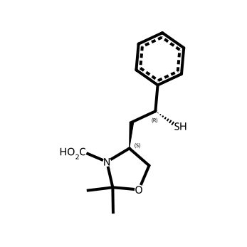 CC1(C)OC[C@H](C[C@@H](S)c2ccccc2)N1C(=O)O